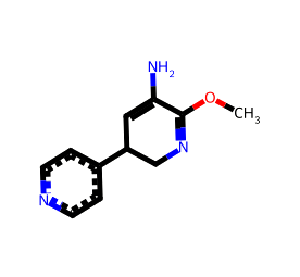 COC1=NCC(c2ccncc2)C=C1N